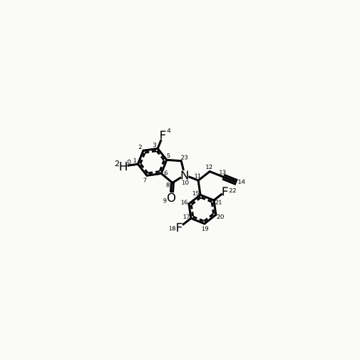 [2H]c1cc(F)c2c(c1)C(=O)N(C(CC#C)c1cc(F)ccc1F)C2